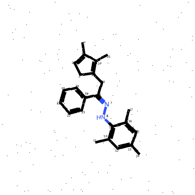 CC1=CCC(CC(=NNc2c(C)cc(C)cc2C)c2ccccc2)=C1C